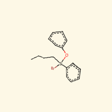 CCCC[Si](Br)(Oc1ccccc1)c1ccccc1